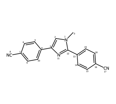 Cn1cc(-c2ccc(C#N)cc2)nc1-c1ccc(C#N)cc1